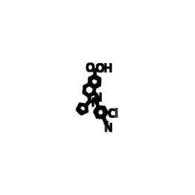 N#Cc1ccc(N2N=C3c4ccc(C(=O)O)cc4CCC3C2C2CC=CC2)cc1Cl